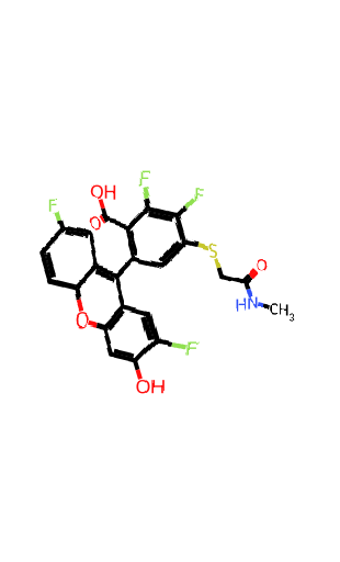 CNC(=O)CSc1cc(C2=C3C=C(F)C=CC3Oc3cc(O)c(F)cc32)c(C(=O)O)c(F)c1F